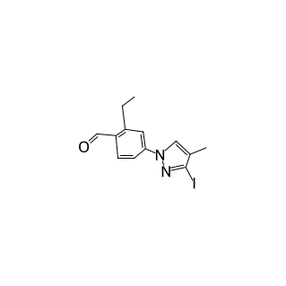 CCc1cc(-n2cc(C)c(I)n2)ccc1C=O